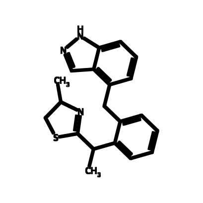 CC1CSC(C(C)c2ccccc2Cc2cccc3[nH]ncc23)=N1